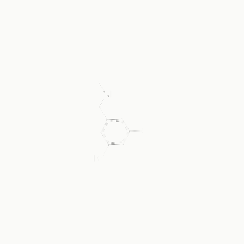 CNCc1cc(Cl)cc(Br)c1